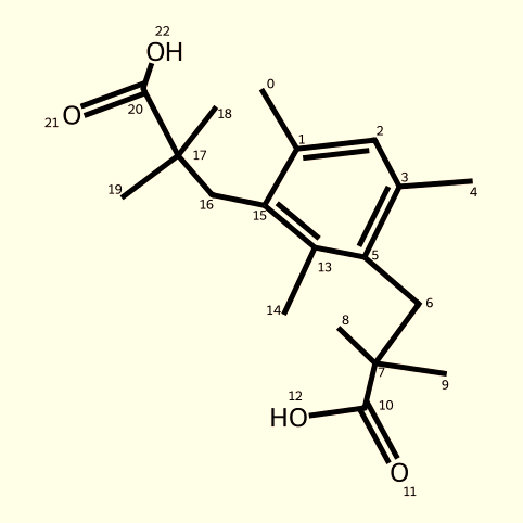 Cc1cc(C)c(CC(C)(C)C(=O)O)c(C)c1CC(C)(C)C(=O)O